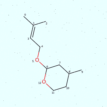 CC(C)=CCOC1CC(C)CCO1